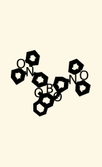 c1ccc2c(c1)Oc1ccccc1N2c1ccc2c(c1)Oc1cc3c(c4c1B2c1ccc(N2c5ccccc5Oc5ccccc52)cc1O4)CCCC3